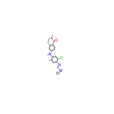 CCN(C)C=Nc1cc(C)c(N(C)c2ccc3c(c2)CCC(C)C3=O)cc1Cl